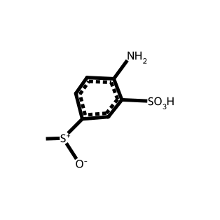 C[S+]([O-])c1ccc(N)c(S(=O)(=O)O)c1